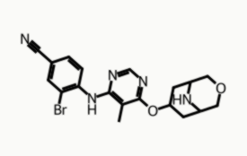 Cc1c(Nc2ccc(C#N)cc2Br)ncnc1OC1CC2COCC(C1)N2